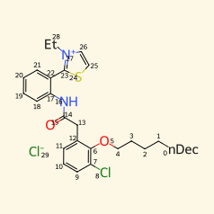 CCCCCCCCCCCCCCOc1c(Cl)cccc1CC(=O)Nc1ccccc1-c1scc[n+]1CC.[Cl-]